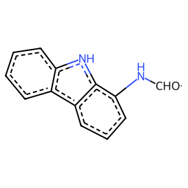 O=[C]Nc1cccc2c1[nH]c1ccccc12